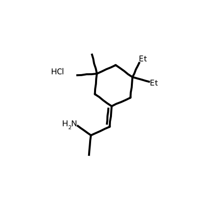 CCC1(CC)C/C(=C/C(C)N)CC(C)(C)C1.Cl